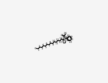 CCCCCCCCCCCCCCCC(=O)N(c1ccccc1)C(C)C